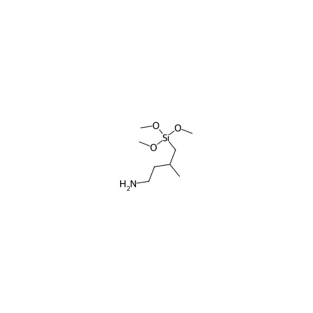 CO[Si](CC(C)CCN)(OC)OC